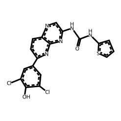 O=C(Nc1cnc2ccc(-c3cc(Cl)c(O)c(Cl)c3)nc2n1)Nc1cccs1